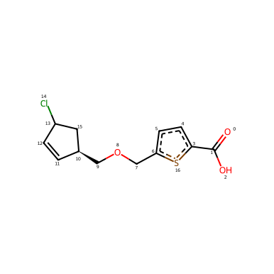 O=C(O)c1ccc(COC[C@H]2C=CC(Cl)C2)s1